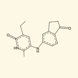 CCc1cc(Nc2ccc3c(c2)CCC3=O)c(C)[nH]c1=O